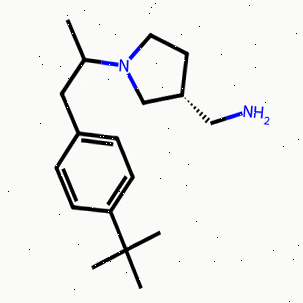 CC(Cc1ccc(C(C)(C)C)cc1)N1CC[C@H](CN)C1